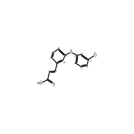 O=C(O)C=Cc1cccc(Oc2cccc(Cl)c2)c1